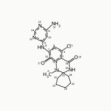 CN1n2c(c(Cl)cc(Nc3cc(N)ncn3)c2=O)C(=O)NC12CCCCC2